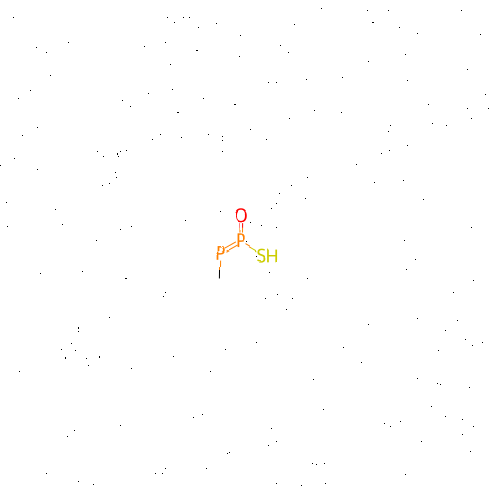 CP=P(=O)S